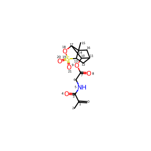 C=C(C)C(=O)NCC(=O)OC1C2CC3C(C)(C2)C1OS3(=O)=O